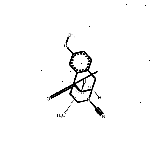 COc1ccc2c(c1)[C@]13CCN(C#N)[C@H](C2)[C@@H]1C[C@H](C)C(=O)C3